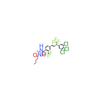 CCCCC(=O)N[C@@H](C)NC(=O)c1ccc(C=CC(c2cc(Cl)c(Cl)c(Cl)c2)C(F)(F)F)cc1C(F)(F)F